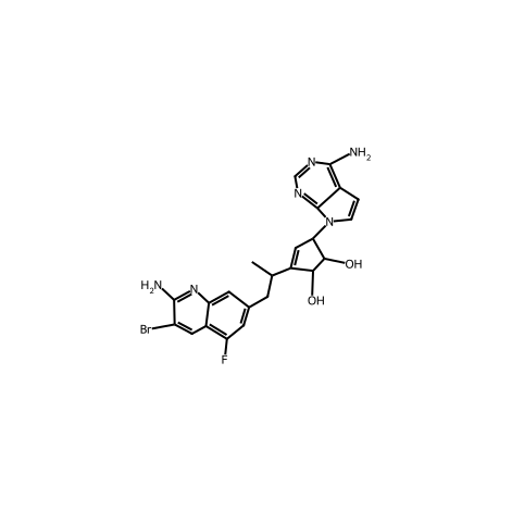 CC(Cc1cc(F)c2cc(Br)c(N)nc2c1)C1=CC(n2ccc3c(N)ncnc32)C(O)C1O